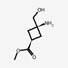 COC(=O)[C@H]1C[C@](N)(CO)C1